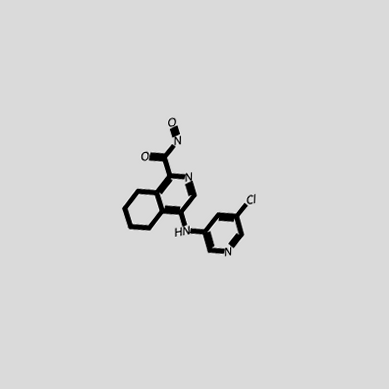 O=NC(=O)c1ncc(Nc2cncc(Cl)c2)c2c1CCCC2